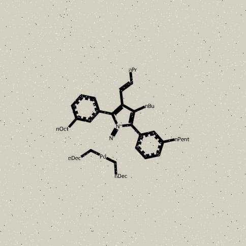 CCCC=CC1=C(c2cccc(CCCCCCCC)c2)[N+](=[N-])C(c2cccc(CCCCC)c2)=C1CCCC.CCCCCCCCCC[CH2][Pd][CH2]CCCCCCCCCC